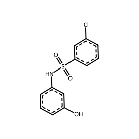 O=S(=O)(Nc1cccc(O)c1)c1cccc(Cl)c1